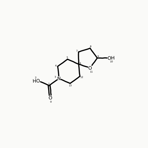 O=C(O)N1CCC2(CCC(O)O2)CC1